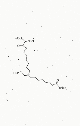 CCCCCCCCCC(=O)SCCCCCCN(CCO)CCCCCCSC(=O)C(CCCCCCCC)CCCCCCCC